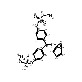 COS(=O)(=O)Oc1ccc(C(C)c2ccc(OS(=O)(=O)OC)cc2)cc1.c1cc2cc-2c1